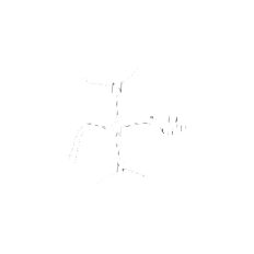 C=C[Si](NC)(N(C)C)N(C)C